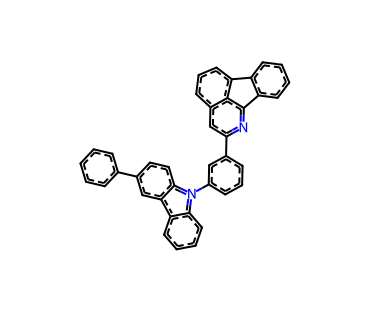 c1ccc(-c2ccc3c(c2)c2ccccc2n3-c2cccc(-c3cc4cccc5c4c(n3)-c3ccccc3-5)c2)cc1